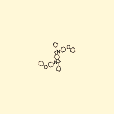 c1ccc(Oc2ccc(-n3c(-c4ccccc4)cc4cc5c(cc(-c6ccccc6)n5-c5ccc(Oc6ccccc6)cc5)cc43)cc2)cc1